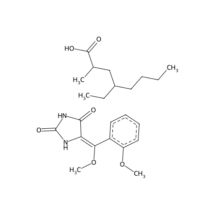 CCCCC(CC)CC(C)C(=O)O.COC(=C1NC(=O)NC1=O)c1ccccc1OC